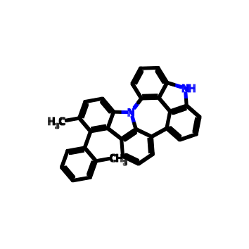 Cc1ccccc1-c1c(C)ccc2c1c1cccc3c4cccc5[nH]c6cccc(c6c54)n2c31